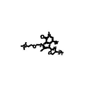 Cc1c(C2=NC(C(C)C)CO2)c2c(Br)cn(C)c(=O)c2n1COCC[Si](C)(C)C